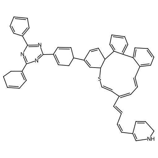 C1=CCCC(c2nc(C3=CCC(C4=CC5S/C=C/C(/C=C/C=C\C6=CNCC=C6)=C\C=C\c6ccccc6-c6ccccc6C5C=C4)C=C3)nc(-c3ccccc3)n2)=C1